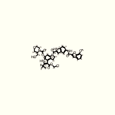 COc1cccc2cc(C(=O)Nc3ccc4[nH]c(C(=O)N5CCc6c5cc(OC(=O)N5CCOC[C@@H]5CO)c5[nH]c(C(F)(F)F)c(C(=O)OCCl)c65)cc4c3)oc12